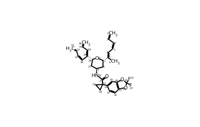 C=C/C=C\C=C(/C)[C@@H]1C[C@@H](NC(=O)C2(c3ccc4c(c3)OC(F)(F)O4)CC2)C[C@H](C(/C=C\C=C)=C/C=C)O1